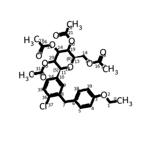 CCOc1ccc(Cc2cc([C@@H]3O[C@H](COC(C)=O)C(OC(C)=O)C(OC(C)=O)C3OC(C)=O)ccc2Cl)cc1